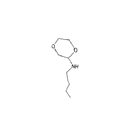 CCCCNC1COCCO1